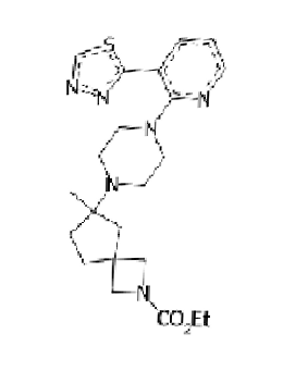 CCOC(=O)N1CC2(CCC(C)(N3CCN(c4ncccc4-c4nncs4)CC3)C2)C1